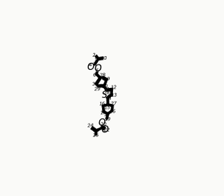 C=C(C)C(=O)OCc1ccc(-c2ccc(C3CCC(COC(=O)C(=C)C)CC3)s2)cc1